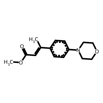 COC(=O)C=C(C)c1ccc(N2CCOCC2)cc1